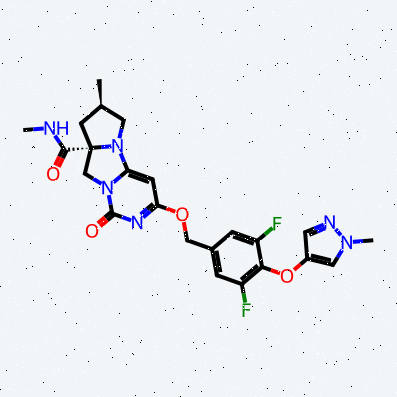 CNC(=O)[C@]12C[C@@H](C)CN1c1cc(OCc3cc(F)c(Oc4cnn(C)c4)c(F)c3)nc(=O)n1C2